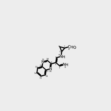 N=C/C(=C\NC1CC1C=O)c1cnc2ccccc2n1